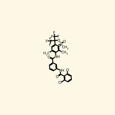 Cc1cc(C(OS(C)(=O)=O)(C(F)(F)F)C(F)(F)F)cc(C)c1NC(=O)c1cccc(NC(=O)c2c(Cl)cccc2Cl)c1